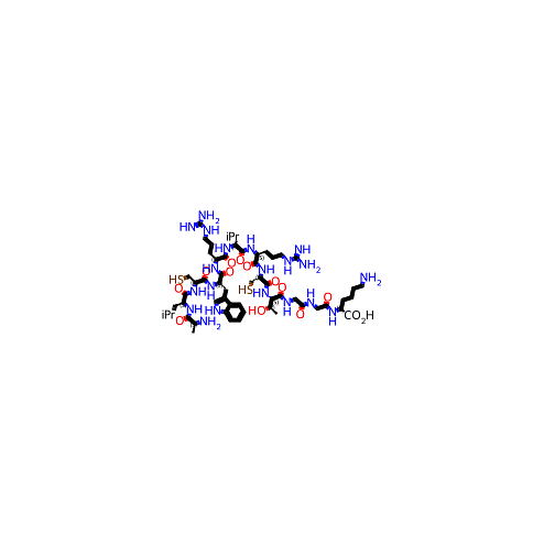 CC(C)C[C@H](NC(=O)[C@H](C)N)C(=O)N[C@@H](CS)C(=O)N[C@@H](Cc1c[nH]c2ccccc12)C(=O)N[C@@H](CCCNC(=N)N)C(=O)N[C@H](C(=O)N[C@@H](CCCNC(=N)N)C(=O)N[C@@H](CS)C(=O)N[C@H](C(=O)NCC(=O)NCC(=O)N[C@@H](CCCCN)C(=O)O)[C@@H](C)O)C(C)C